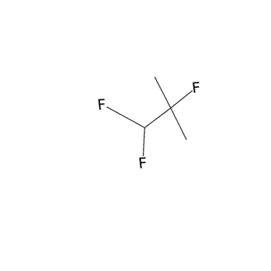 CC(C)(F)C(F)F